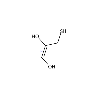 O/C=C(/O)CS